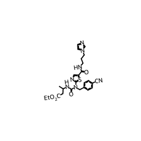 CCOC(=O)CC(C)NC(=O)N(Cc1ccc(C#N)cc1)c1ncc(C(=O)NCCCn2ccnc2)s1